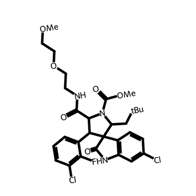 COCCOCCNC(=O)C1C(c2cccc(Cl)c2F)C2(C(=O)Nc3cc(Cl)ccc32)C(CC(C)(C)C)N1C(=O)OC